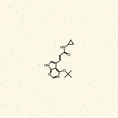 CC(C)(C)Oc1ncnc2[nH]cc(/C=C/C(=O)NC3CC3)c12